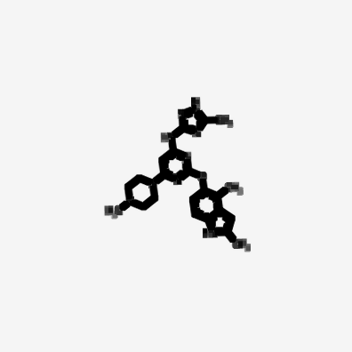 Cc1cc2c(C)c(Oc3nc(Nc4n[nH]c(C)n4)cc(N4CCN(C)CC4)n3)ccc2[nH]1